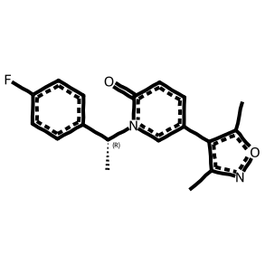 Cc1noc(C)c1-c1ccc(=O)n([C@H](C)c2ccc(F)cc2)c1